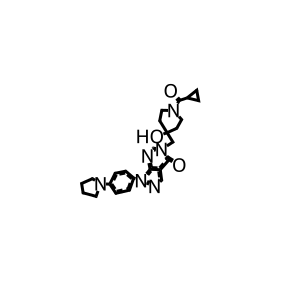 O=C(C1CC1)N1CCC(O)(Cn2cnc3c(cnn3-c3ccc(N4CCCC4)cc3)c2=O)CC1